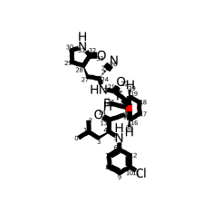 CC(C)C[C@H](Nc1cccc(Cl)c1)C(=O)N1[C@H]2CC[C@@H]([C@@H]1C(=O)N[C@@H](C#N)C[C@H]1CCNC1=O)C(F)(F)C2